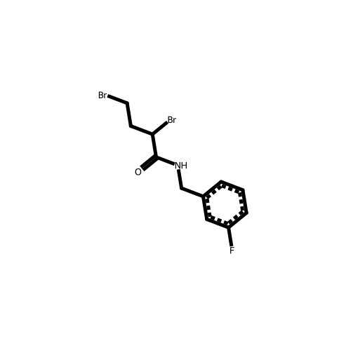 O=C(NCc1cccc(F)c1)C(Br)CCBr